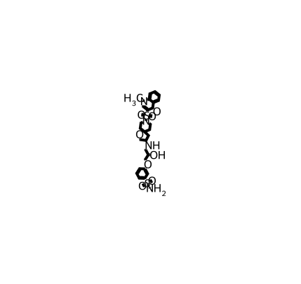 Cn1cc(S(=O)(=O)N2CCC3(CC2)C[C@@H](NCC(O)COc2cccc(S(N)(=O)=O)c2)CO3)c(=O)c2ccccc21